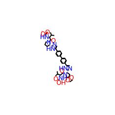 COC(=O)N[C@H](C(=O)N1CCC[C@H]1c1ncc(-c2ccc(-c3ccc(-c4cnc([C@@H]5CC6(CN5C(=O)[C@@H](NC(O)OC)C(C)C)OCCO6)[nH]4)cc3)cc2)[nH]1)C(C)C